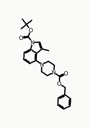 Cc1cn(C(=O)OC(C)(C)C)c2cccc(N3CCN(C(=O)OCc4ccccc4)CC3)c12